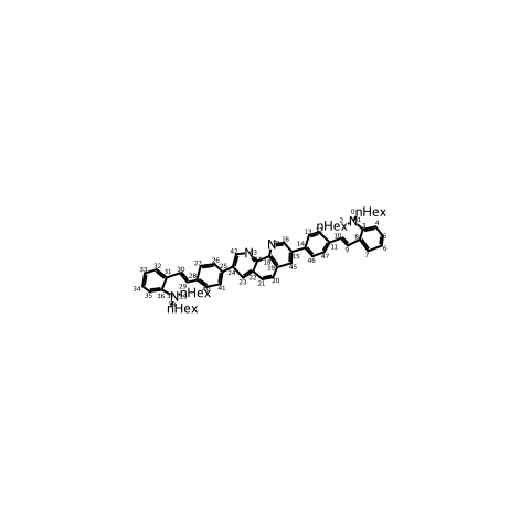 CCCCCCN(CCCCCC)c1ccccc1C=Cc1ccc(-c2cnc3c(ccc4cc(-c5ccc(C=Cc6ccccc6N(CCCCCC)CCCCCC)cc5)cnc43)c2)cc1